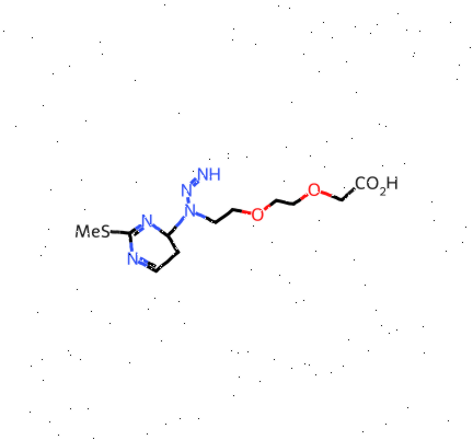 CSC1=NC(N(CCOCCOCC(=O)O)N=N)CC=N1